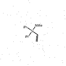 C=C[Si](NC)(C(C)C)C(C)C